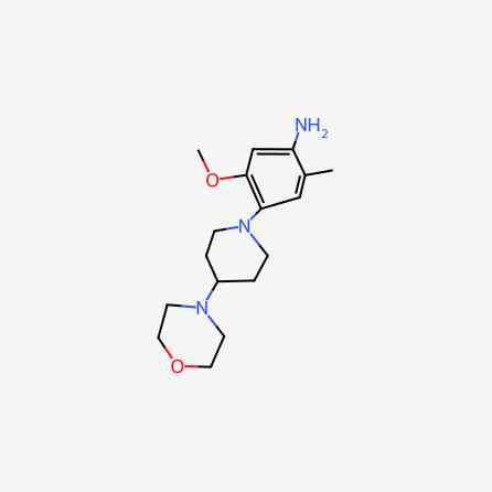 COc1cc(N)c(C)cc1N1CCC(N2CCOCC2)CC1